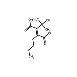 CCCCC(C(=O)O)=C(C(=O)O)C(C)(C)C